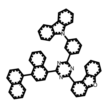 c1cc(-c2nc(-c3ccc(-c4cccc5ccccc45)c4ccccc34)nc(-c3cccc4oc5ccccc5c34)n2)cc(-n2c3ccccc3c3ccccc32)c1